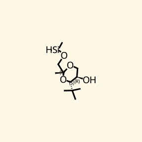 C[SiH](C)OC[C@]1(C)OC[C@@H](O)[C@H](C(C)(C)C)O1